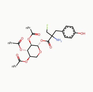 CCCC(=O)O[C@@H]1[C@@H](OC(=O)CCC)[C@H](OC(=O)C(N)(CF)Cc2ccc(O)cc2)OC[C@H]1OC(=O)CCC